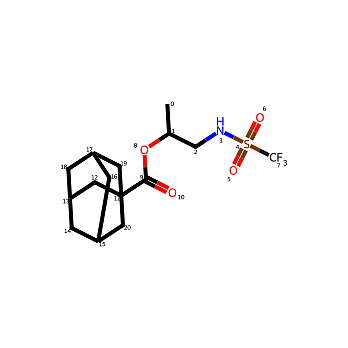 CC(CNS(=O)(=O)C(F)(F)F)OC(=O)C12CC3CC(CC(C3)C1)C2